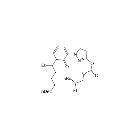 CCCCCCCCCCCCCC(CC)C1C=CC=C(N2CCC(OC(=O)OCC(CC)CCCC)=N2)C1=O